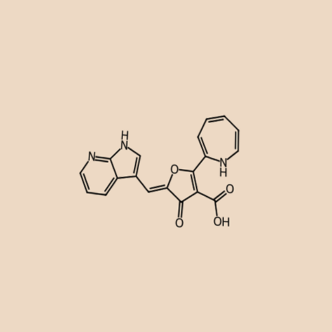 O=C(O)C1=C(C2=CC=CC=CN2)OC(=Cc2c[nH]c3ncccc23)C1=O